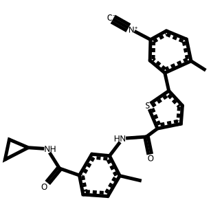 [C-]#[N+]c1ccc(C)c(-c2ccc(C(=O)Nc3cc(C(=O)NC4CC4)ccc3C)s2)c1